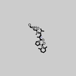 C/C(=C\[C@H](C(C)C)N(C)C(=O)CNC=O)C(=O)N1CCC[C@H]1C(=O)N1C(C)CCCC1C